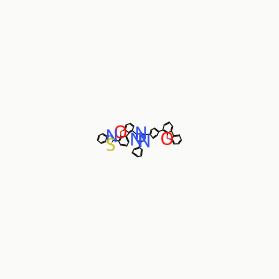 c1ccc(-c2nc(-c3ccc(-c4cccc5c4oc4ccccc45)cc3)nc(-c3cccc4oc5c(-c6nc7ccccc7s6)cccc5c34)n2)cc1